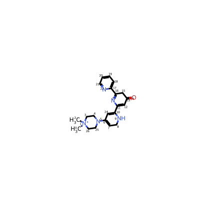 C[N+]1(C)CCN(C2=CCNC(C3=CC(=O)CC(c4ccccn4)=N3)=C2)CC1